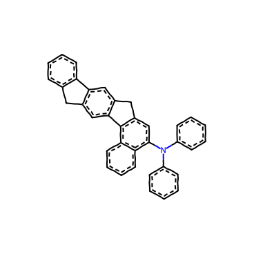 c1ccc(N(c2ccccc2)c2cc3c(c4ccccc24)-c2cc4c(cc2C3)-c2ccccc2C4)cc1